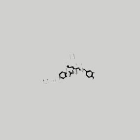 COc1ccc2c(c1)sc1nc(C(=O)NCc3ccc(Cl)c(Cl)c3)c(O)c(=O)n12